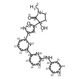 CN1CCC(O)(c2cc(-c3cccc(-c4ccnc(Nc5ccncc5)n4)n3)no2)C1=O